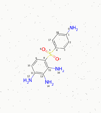 Nc1ccc(S(=O)(=O)c2ccc(N)c(N)c2N)cc1